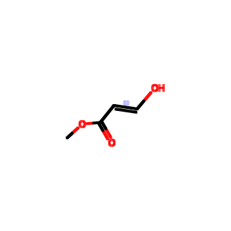 COC(=O)/C=C/O